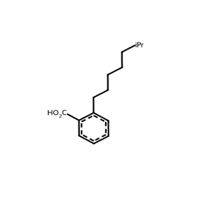 CC(C)CCCCCc1ccccc1C(=O)O